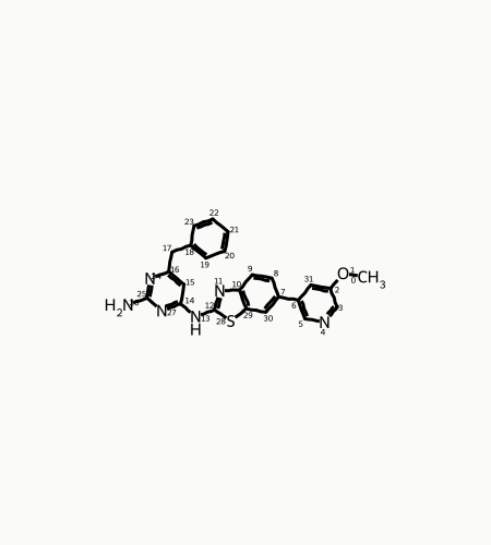 COc1cncc(-c2ccc3nc(Nc4cc(Cc5ccccc5)nc(N)n4)sc3c2)c1